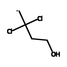 [CH2]C(Cl)(Cl)CCO